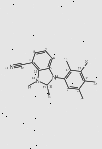 Cc1cc(N2c3cccc(C#N)c3N(C)[C@@H]2C)c(C)c(C)c1C